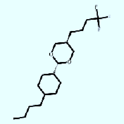 CCCCC1CCC([C@H]2OC[C@H](CCCC(F)(F)F)CO2)CC1